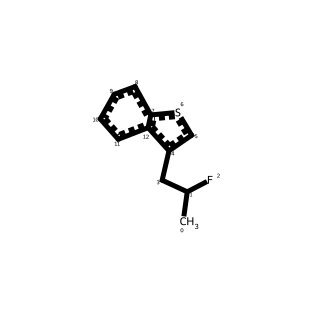 CC(F)Cc1csc2ccccc12